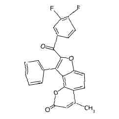 Cc1cc(=O)oc2c1ccc1oc(C(=O)c3ccc(F)c(F)c3)c(-c3ccccc3)c12